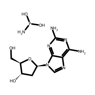 NP(O)O.Nc1nc(N)c2ncn([C@H]3C[C@H](O)[C@@H](CO)O3)c2n1